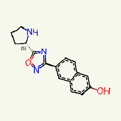 Oc1ccc2cc(-c3noc([C@@H]4CCCN4)n3)ccc2c1